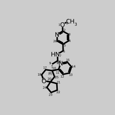 COc1ccc(CNCC[C@@]2(c3ccccn3)CCOC3(CCCC3)C2)cn1